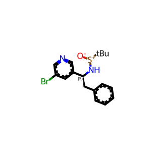 CC(C)(C)[S+]([O-])N[C@@H](Cc1ccccc1)c1cncc(Br)c1